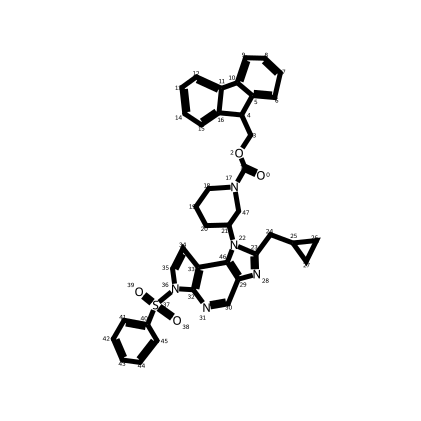 O=C(OCC1c2ccccc2-c2ccccc21)N1CCCC(n2c(CC3CC3)nc3cnc4c(ccn4S(=O)(=O)c4ccccc4)c32)C1